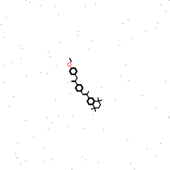 C=C(Cc1ccc(OCC)cc1)c1ccc(/C=C(\C)c2ccc3c(c2)C(C)(C)CCC3(C)C)cc1